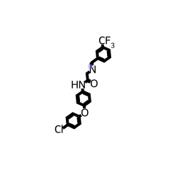 O=C(C/N=C/c1cccc(C(F)(F)F)c1)Nc1ccc(Oc2ccc(Cl)cc2)cc1